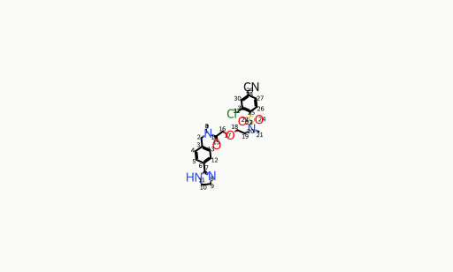 CN(Cc1ccc(C2=NCCN2)cc1)C(=O)COCCN(C)S(=O)(=O)c1ccc(C#N)cc1Cl